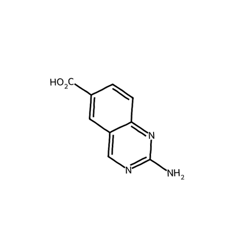 Nc1ncc2cc(C(=O)O)ccc2n1